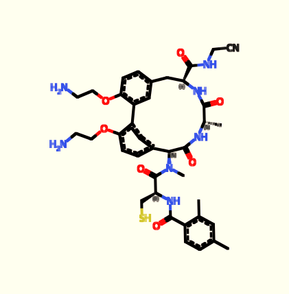 Cc1ccc(C(=O)N[C@@H](CS)C(=O)N(C)[C@@H]2C(=O)N[C@@H](C)C(=O)N[C@H](C(=O)NCC#N)Cc3ccc(OCCN)c(c3)-c3cc2ccc3OCCN)c(C)c1